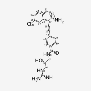 N=C(N)NCC(O)CNC(=O)c1ccc(C#Cc2c(N)ncc3ccc(Cl)cc23)cc1